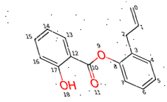 C=CCc1ccccc1OC(=O)c1ccccc1O